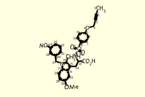 CC#CCOc1ccc(S(=O)(=O)NC(Cc2c(C)n(Cc3cccc(C#N)c3)c3ccc(OC)cc23)C(=O)O)cc1